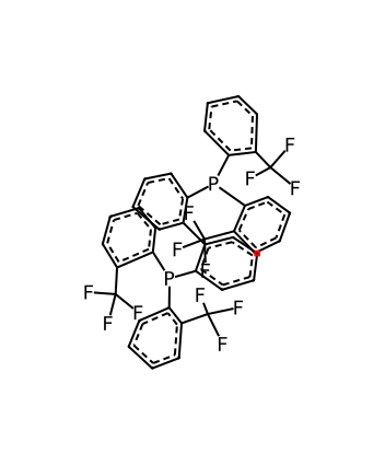 FC(F)(F)c1ccccc1P(c1ccccc1-c1ccccc1P(c1ccccc1C(F)(F)F)c1ccccc1C(F)(F)F)c1ccccc1C(F)(F)F